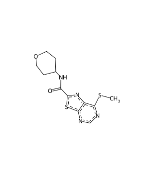 CSc1ncnc2sc(C(=O)NC3CCOCC3)nc12